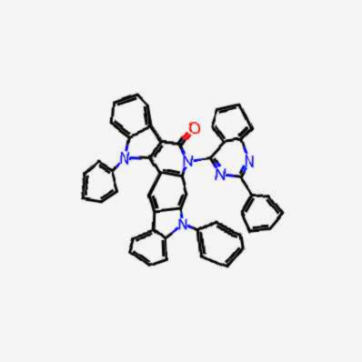 O=c1c2c3ccccc3n(-c3ccccc3)c2c2cc3c4ccccc4n(-c4ccccc4)c3cc2n1-c1nc(-c2ccccc2)nc2ccccc12